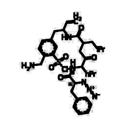 C=CC(Cc1ccc(CN)c(S(C)(=O)=O)c1)NC(=O)C(CC(=O)C(CCC)NC(=O)[C@H](Cc1ccccc1)N=[N+]=[N-])CC(C)C